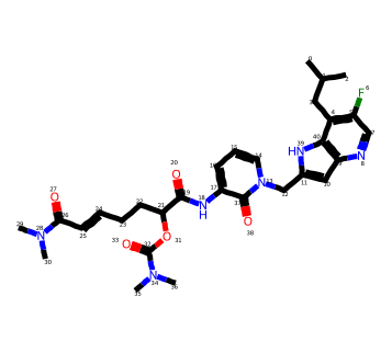 CC(C)Cc1c(F)cnc2cc(Cn3cccc(NC(=O)C(CCC=CC(=O)N(C)C)OC(=O)N(C)C)c3=O)[nH]c12